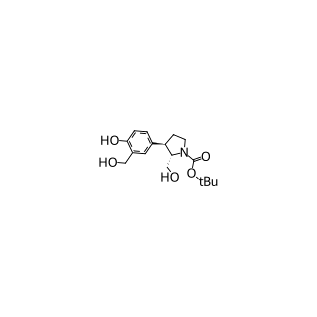 CC(C)(C)OC(=O)N1CC[C@H](c2ccc(O)c(CO)c2)[C@H]1CO